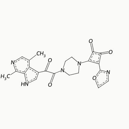 Cc1ncc(C)c2c(C(=O)C(=O)N3CCN(c4c(-c5ncco5)c(=O)c4=O)CC3)c[nH]c12